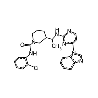 CC(Nc1nccc(-n2cnc3ccccc32)n1)C1CCCN(C(=O)Nc2ccccc2Cl)C1